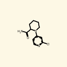 NC(=O)C1C[CH]CCN1c1ccnc(Cl)c1